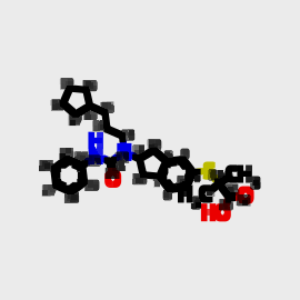 CC(C)(Sc1ccc2c(c1)CC(N(CCCC1CCCC1)C(=O)Nc1ccccc1)C2)C(=O)O